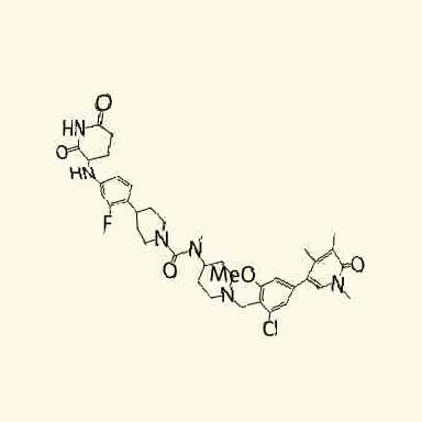 COc1cc(-c2cn(C)c(=O)c(C)c2C)cc(Cl)c1CN1CCC(N(C)C(=O)N2CCC(c3ccc(NC4CCC(=O)NC4=O)cc3F)CC2)CC1